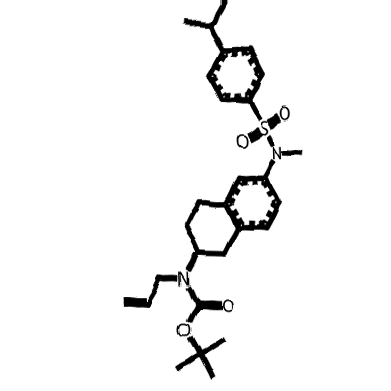 C=CCN(C(=O)OC(C)(C)C)C1CCc2cc(N(C)S(=O)(=O)c3ccc(C(C)C)cc3)ccc2C1